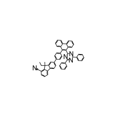 CCC1(C)c2cc(-c3ccc(-c4c(-c5nc(-c6ccccc6)nc(-c6ccccc6)n5)c5ccccc5c5ccccc45)cc3)ccc2-c2cccc(C#N)c21